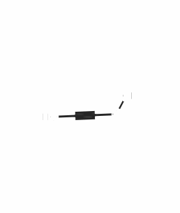 OC#COO